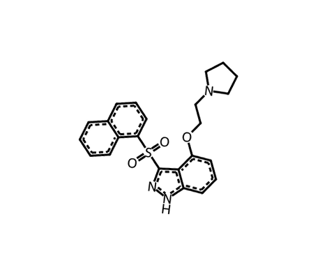 O=S(=O)(c1cccc2ccccc12)c1n[nH]c2cccc(OCCN3CCCC3)c12